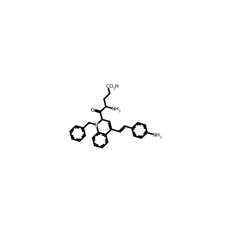 Nc1ccc(C=CC2=CC(C(=O)C(N)CCC(=O)O)N(Cc3ccccc3)c3ccccc32)cc1